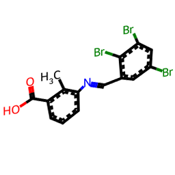 Cc1c(/N=C/c2cc(Br)cc(Br)c2Br)cccc1C(=O)O